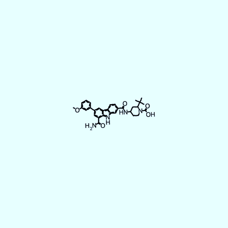 COc1cccc(-c2cc(C(N)=O)c3[nH]c4cc(C(=O)NC5CCN(C(=O)O)C(C(C)(C)C)C5)ccc4c3c2)c1